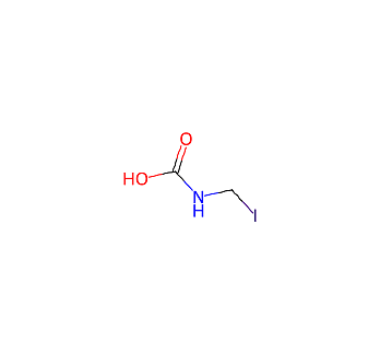 O=C(O)NCI